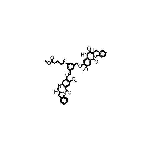 COC(=O)CCCN(C)c1cc(COC2=C(OC)CC3C(=O)N4c5ccccc5C[C@H]4C(=O)NC3=C2)cc(COC2=C(OC)C=C3C(=O)N4c5ccccc5C[C@H]4C=NC3C2)c1